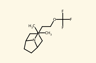 CC(C)N1C2CCC1CN(CCOC(F)(F)F)C2